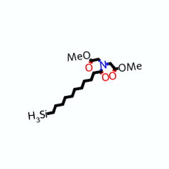 COC(=O)CN(CC(=O)OC)C(=O)CCCCCCCCCC[SiH3]